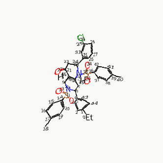 CCc1ccc(C2C[C@H]3[C@@H](CN2S(=O)(=O)c2ccc(C)cc2)C(=O)C[C@@H](c2cccc(Cl)c2)N3S(=O)(=O)c2ccc(C)cc2)cc1